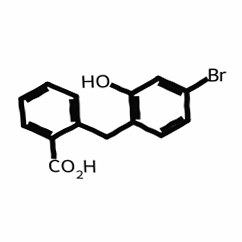 O=C(O)c1ccccc1Cc1ccc(Br)cc1O